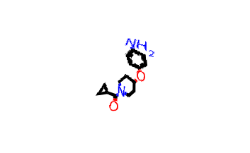 Nc1ccc(OC2CCN(C(=O)C3CC3)CC2)cc1